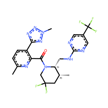 Cc1ccc(-c2nnn(C)n2)c(C(=O)N2CC(F)(F)C[C@@H](C)[C@H]2CNc2ncc(C(F)(F)F)cn2)n1